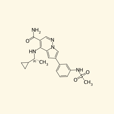 C[C@@H](Nc1c(C(N)=O)cnn2cc(-c3cccc(NS(C)(=O)=O)c3)cc12)C1CC1